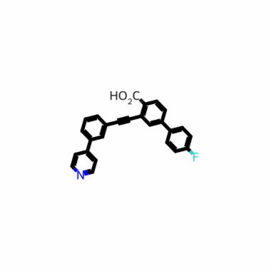 O=C(O)c1ccc(-c2ccc(F)cc2)cc1C#Cc1cccc(-c2ccncc2)c1